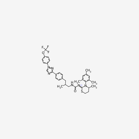 Cc1cc(C)c(N2/C(=N/C(=O)NCC(C)Cc3ccc(-c4ncn(-c5ccc(OC(F)(F)F)cc5)n4)cc3)SCCC2C)c(C)c1